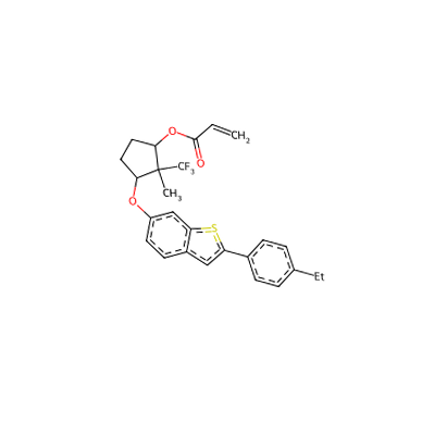 C=CC(=O)OC1CCC(Oc2ccc3cc(-c4ccc(CC)cc4)sc3c2)C1(C)C(F)(F)F